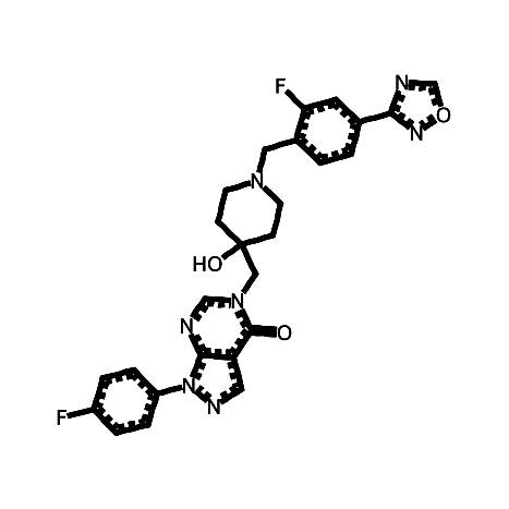 O=c1c2cnn(-c3ccc(F)cc3)c2ncn1CC1(O)CCN(Cc2ccc(-c3ncon3)cc2F)CC1